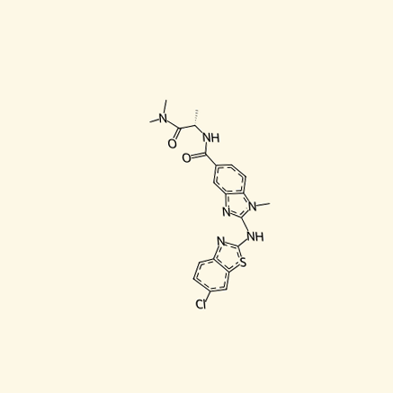 C[C@H](NC(=O)c1ccc2c(c1)nc(Nc1nc3ccc(Cl)cc3s1)n2C)C(=O)N(C)C